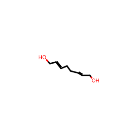 OCC=CCCC=CCO